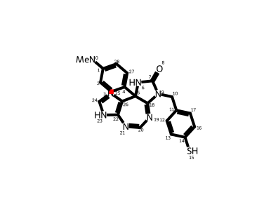 CNc1ccc(C23NC(=O)N(Cc4ccc(S)cc4)C2=NC=Nc2[nH]cnc23)cc1